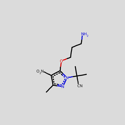 Cc1nn(C(C)(C)C#N)c(OCCCN)c1[N+](=O)[O-]